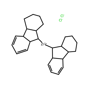 C1=CC2C(C=C1)[CH]([Zr+2][CH]1C3C=CC=CC3C3CCCCC31)C1CCCCC21.[Cl-].[Cl-]